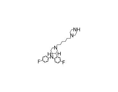 Fc1ccc(N2c3ccc(F)cc3[C@@H]3CN(CCCCCCN4CCNCC4)CC[C@H]32)cc1